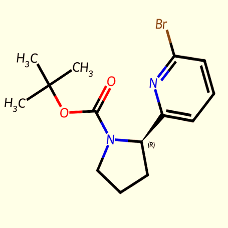 CC(C)(C)OC(=O)N1CCC[C@@H]1c1cccc(Br)n1